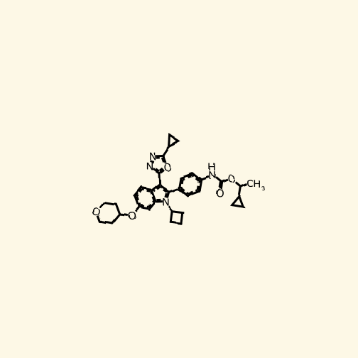 CC(OC(=O)Nc1ccc(-c2c(-c3nnc(C4CC4)o3)c3ccc(OC4CCOCC4)cc3n2C2CCC2)cc1)C1CC1